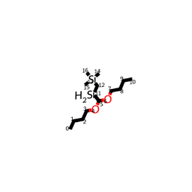 CCCCOC(OCCCC)[SiH2]C[Si](C)(C)C